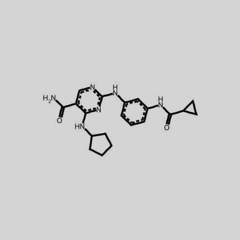 NC(=O)c1cnc(Nc2cccc(NC(=O)C3CC3)c2)nc1NC1CCCC1